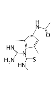 CNC(=S)N(C(=N)N)c1c(C)cc(NC(C)=O)cc1C